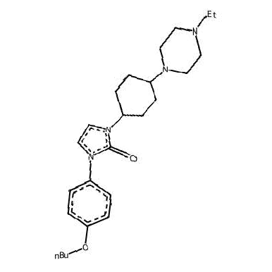 CCCCOc1ccc(-n2ccn(C3CCC(N4CCN(CC)CC4)CC3)c2=O)cc1